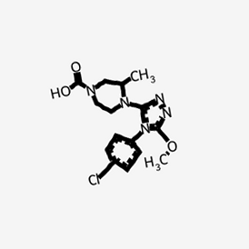 COc1nnc(N2CCN(C(=O)O)CC2C)n1-c1ccc(Cl)cc1